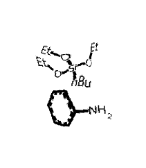 CCCC[Si](OCC)(OCC)OCC.Nc1ccccc1